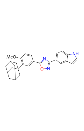 COc1ccc(-c2nc(-c3ccc4[nH]ccc4c3)no2)cc1C12CC3CC(CC(C3)C1)C2